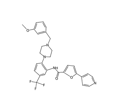 COc1cccc(CN2CCN(c3ccc(C(F)(F)F)cc3NC(=O)c3ccc(-c4ccncc4)o3)CC2)c1